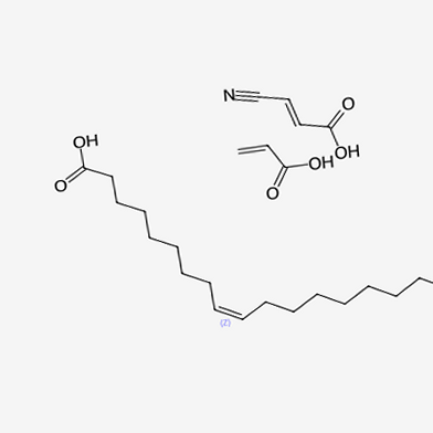 C=CC(=O)O.CCCCCCCC/C=C\CCCCCCCC(=O)O.N#CC=CC(=O)O